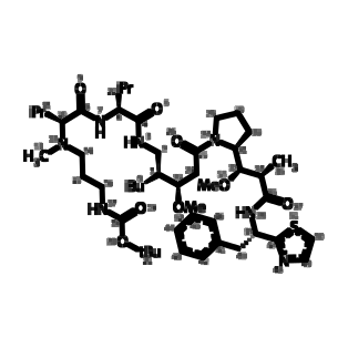 CC[C@H](C)[C@@H](CNC(=O)[C@@H](NC(=O)[C@H](C(C)C)N(C)CCCNC(=O)OC(C)(C)C)C(C)C)[C@@H](CC(=O)N1CCC[C@H]1[C@H](OC)[C@@H](C)C(=O)N[C@@H](Cc1ccccc1)c1nccs1)OC